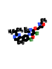 Cc1nc(COc2nc(C)n(-c3cc(-c4nc(C(C)C)ncc4C)ccc3Cl)c(=O)c2Cl)co1